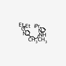 CCC(CC)Oc1ccc(C(C)CCC(C)CNc2cccc(C(C)C)n2)cn1